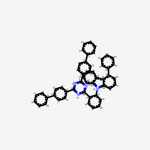 c1ccc(-c2ccc(-c3nc(-c4ccc(-c5ccccc5)cc4)nc(-c4ccccc4-n4c5ccccc5c5c(-c6ccccc6)cccc54)n3)cc2)cc1